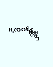 CN1CCN(C2CCN(C(=O)Cc3csc(NC(=O)c4ccc(Cl)s4)n3)CC2)CC1